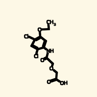 CCOc1cc(NC(=O)COCC(=O)O)c(Cl)cc1Cl